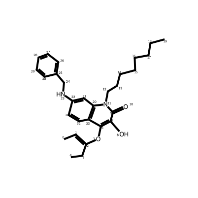 CC=C(CC)Oc1c(O)c(=O)n(CCCCCCCC)c2cc(NCc3ccccc3)ccc12